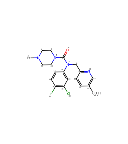 CCN1CCN(C(=O)N(Cc2ccc(C(=O)O)cn2)c2ccc(F)c(Cl)c2)CC1